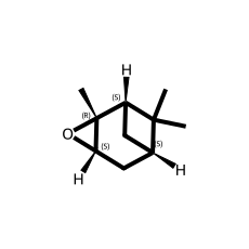 CC1(C)[C@@H]2C[C@@H]3O[C@]3(C)[C@H]1C2